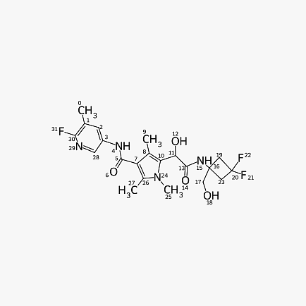 Cc1cc(NC(=O)c2c(C)c(C(O)C(=O)NC3(CO)CC(F)(F)C3)n(C)c2C)cnc1F